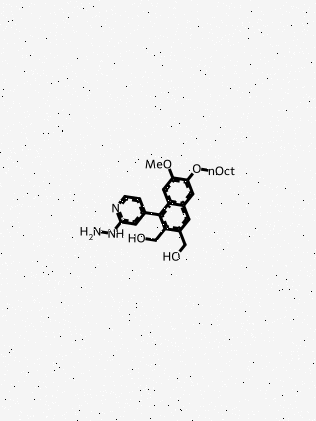 CCCCCCCCOc1cc2cc(CO)c(CO)c(-c3ccnc(NN)c3)c2cc1OC